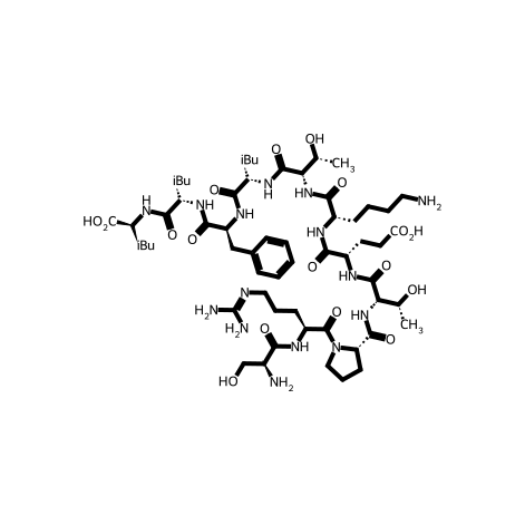 CC[C@H](C)[C@H](NC(=O)[C@@H](NC(=O)[C@H](Cc1ccccc1)NC(=O)[C@@H](NC(=O)[C@@H](NC(=O)[C@H](CCCCN)NC(=O)[C@H](CCC(=O)O)NC(=O)[C@@H](NC(=O)[C@@H]1CCCN1C(=O)[C@H](CCCN=C(N)N)NC(=O)[C@@H](N)CO)[C@@H](C)O)[C@@H](C)O)[C@@H](C)CC)[C@@H](C)CC)C(=O)O